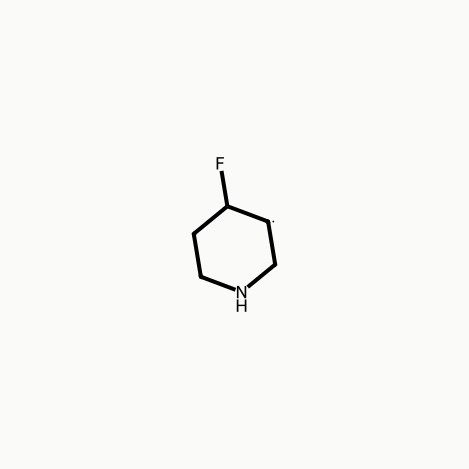 FC1[CH]CNCC1